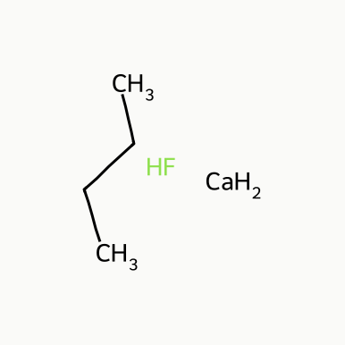 CCCC.F.[CaH2]